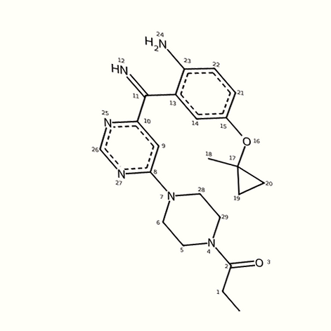 CCC(=O)N1CCN(c2cc(C(=N)c3cc(OC4(C)CC4)ccc3N)ncn2)CC1